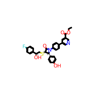 CCOC(=O)c1cncc(-c2ccc(N3C(=O)[C@H](SC[C@H](O)c4ccc(F)cc4)[C@H]3c3ccc(O)cc3)cc2)c1